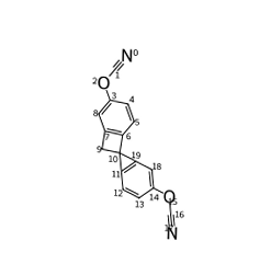 N#COc1ccc2c(c1)CC21c2ccc(OC#N)cc21